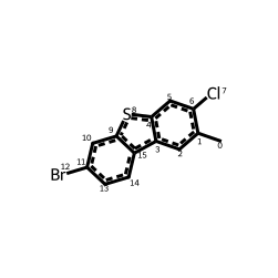 Cc1cc2c(cc1Cl)sc1cc(Br)ccc12